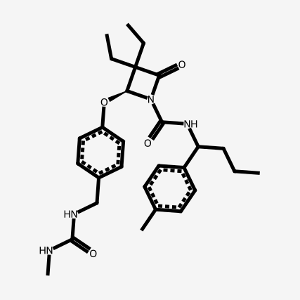 CCCC(NC(=O)N1C(=O)C(CC)(CC)[C@@H]1Oc1ccc(CNC(=O)NC)cc1)c1ccc(C)cc1